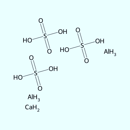 O=S(=O)(O)O.O=S(=O)(O)O.O=S(=O)(O)O.[AlH3].[AlH3].[CaH2]